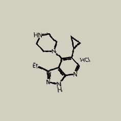 CCc1n[nH]c2ncc(C3CC3)c(N3CCNCC3)c12.Cl